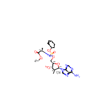 CC(C)OC(=O)[C@@H](C)N[P@](=O)(OC[C@H]1O[C@@H](n2cnc3c(N)ncnc32)[C@](C)(C#N)[C@@H]1O)Oc1ccccc1